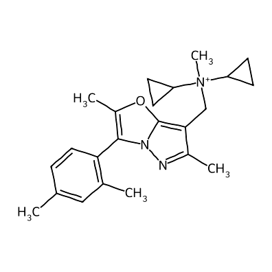 Cc1ccc(-c2c(C)oc3c(C[N+](C)(C4CC4)C4CC4)c(C)nn23)c(C)c1